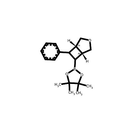 CC1(C)OB(C2C(c3ccccc3)[C@@H]3COC[C@H]23)OC1(C)C